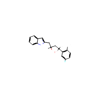 COc1ccc(F)cc1C(C)(C)CC(O)(Cc1cc2c[c]ccc2[nH]1)C(F)(F)F